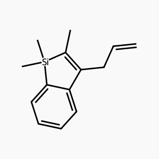 C=CCC1=C(C)[Si](C)(C)c2ccccc21